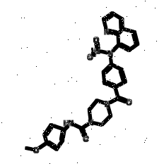 COc1ccc(NC(=O)N2CCN(C(=O)c3ccc(N(c4cccc5cccnc45)[SH](=O)=O)cc3)CC2)cc1